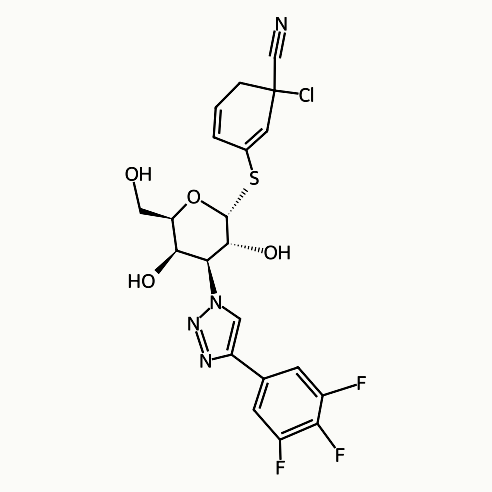 N#CC1(Cl)C=C(S[C@H]2O[C@H](CO)[C@H](O)[C@H](n3cc(-c4cc(F)c(F)c(F)c4)nn3)[C@H]2O)C=CC1